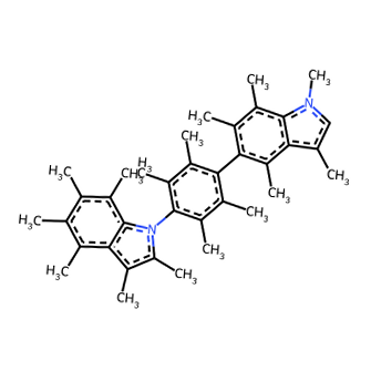 Cc1c(C)c(-n2c(C)c(C)c3c(C)c(C)c(C)c(C)c32)c(C)c(C)c1-c1c(C)c(C)c2c(c(C)cn2C)c1C